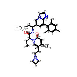 Cc1cc(C)c(-c2cc(C(CC(=O)O)NC(=O)[C@H](CC(C)C)n3cc(CCN4CCC4)c(C(F)(F)F)cc3=O)cn3ccnc23)c(C)c1